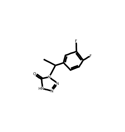 CC(c1ccc(F)c(F)c1)n1nn[nH]c1=O